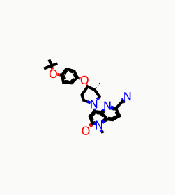 C[C@@H]1CN(c2cc(=O)n(C)c3ccc(C#N)nc23)CC[C@H]1Oc1ccc(OC(C)(C)C)cc1